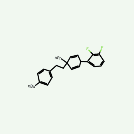 CCCCc1ccc(CCC2(CCC)C=CC(c3cccc(F)c3F)C=C2)cc1